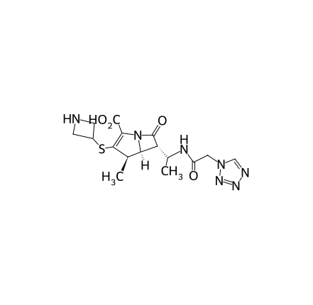 CC(NC(=O)Cn1cnnn1)[C@H]1C(=O)N2C(C(=O)O)=C(SC3CNC3)[C@H](C)[C@H]12